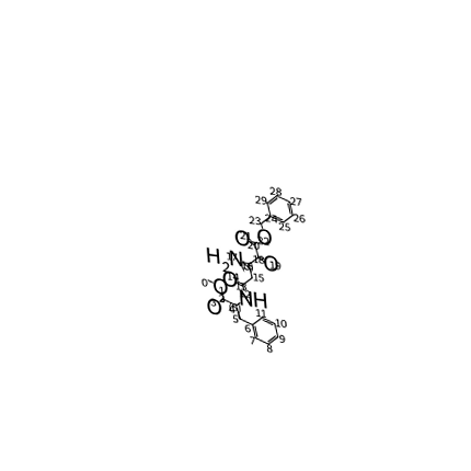 COC(=O)[C@H](Cc1ccccc1)NC(=O)C[C@H](N)C(=O)C(=O)OCc1ccccc1